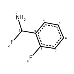 NC(F)c1ccccc1F